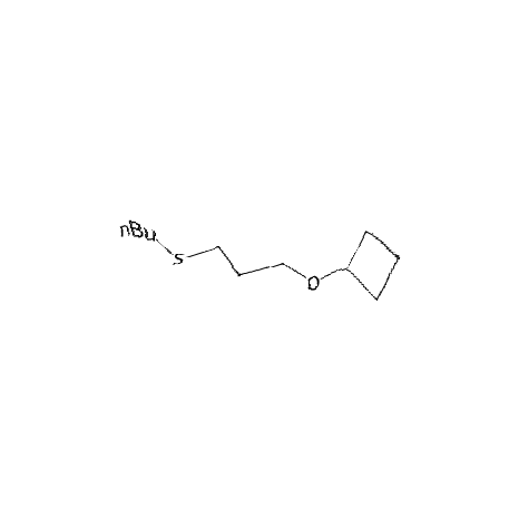 [CH2]CCCSCCCOC1CCC1